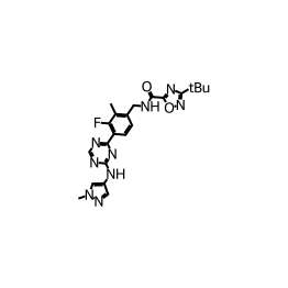 Cc1c(CNC(=O)c2nc(C(C)(C)C)no2)ccc(-c2ncnc(Nc3cnn(C)c3)n2)c1F